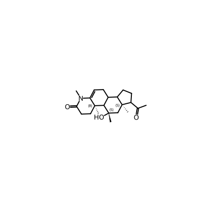 CC(=O)C1CCC2C3CC=C4N(C)C(=O)CC[C@]4(C)C3[C@@](C)(O)C[C@]12C